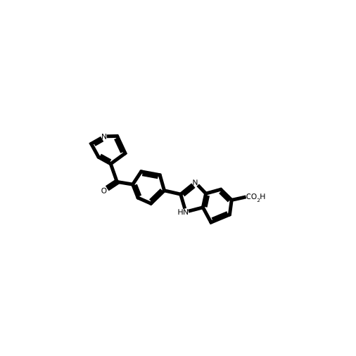 O=C(O)c1ccc2[nH]c(-c3ccc(C(=O)c4ccncc4)cc3)nc2c1